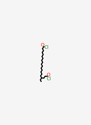 CCC(CCCCCCCCCCCCCCCC(=O)Cl)CCC(=O)Cl